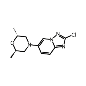 C[C@@H]1CN(c2ccc3nc(Cl)nn3c2)C[C@@H](C)O1